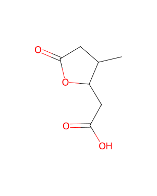 CC1CC(=O)OC1CC(=O)O